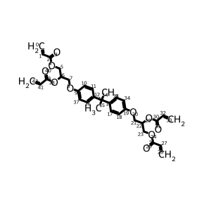 C=CC(=O)OCC(COc1ccc(C(C)(C)c2ccc(OCC(COC(=O)C=C)OC(=O)C=C)cc2)cc1)OC(=O)C=C